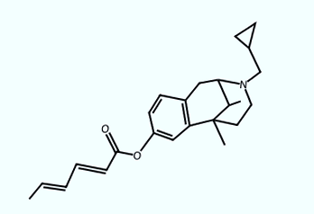 C/C=C/C=C/C(=O)Oc1ccc2c(c1)C1(C)CCN(CC3CC3)C(C2)C1C